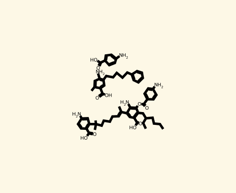 CCCCC(CC)Cc1c(C(=O)O)cc(C(C)=CCCCCC(C)(C)c2cc(N)ccc2C(=O)O)c(N)c1OC(=O)c1ccc(N)cc1.Cc1cc(N)c(CCCCCc2ccccc2)cc1C(=O)O.Nc1ccc(C(=O)O)cc1